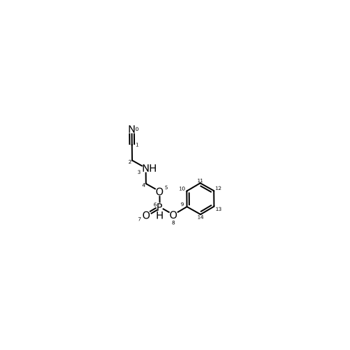 N#CCNCO[PH](=O)Oc1ccccc1